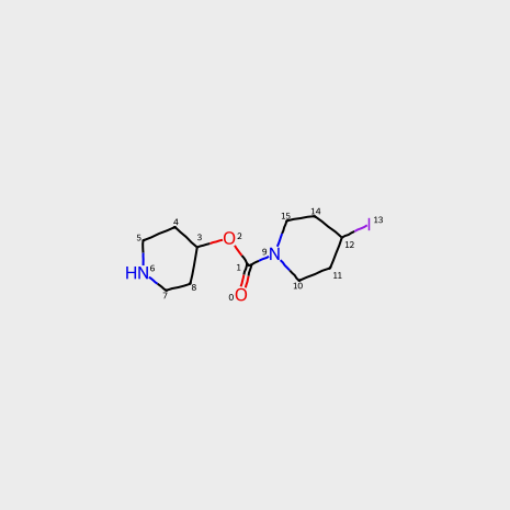 O=C(OC1CCNCC1)N1CCC(I)CC1